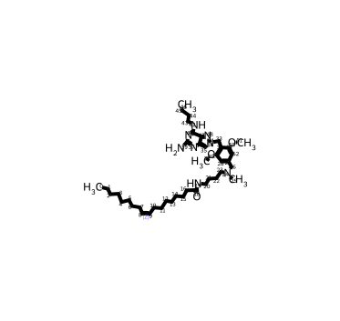 CCCCCCCC/C=C\CCCCCCCC(=O)NCCCCN(C)Cc1cc(OC)c(Cn2cc3nc(N)nc(NCCCC)c3n2)c(OC)c1